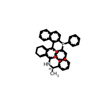 C[C@@H](Nc1nnc(-c2c(P(c3ccccc3)c3ccccc3)ccc3ccccc23)c2c1=CCCC=2)c1ccccc1